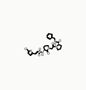 O=C(NCc1ccccc1)[C@H]1CCCN1C(=O)CN1CCC[C@H](NS(=O)(=O)/C=C/c2ccc(Cl)s2)C1=O